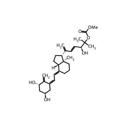 C=C(/C=C/[C@H](O)C(C)(C)OC(=O)OC)[C@H]1CC[C@H]2/C(=C/C=C3/C[C@@H](O)C[C@H](O)C3=C)CCC[C@]12C